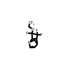 FC(F)(F)COC1(F)C2C(C3C=CN2C3)C1(F)F